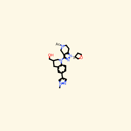 CC(=O)N1CCc2c(c(N3CC(CO)Cc4cc(-c5cnn(C)c5)ccc43)nn2[C@@H]2CCOC2)C1